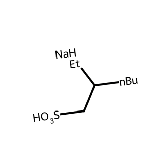 CCCCC(CC)CS(=O)(=O)O.[NaH]